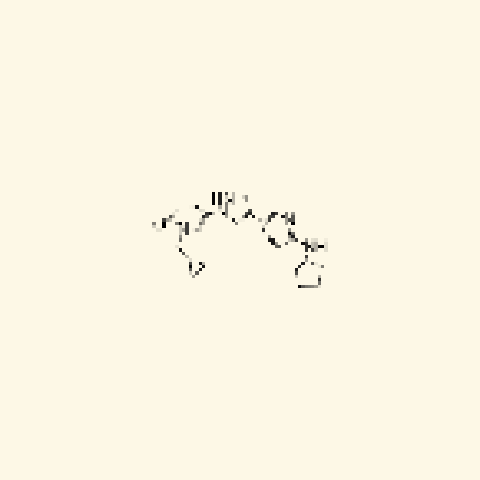 Cc1nc(NC2CCCC2)ccc1C1=CN(c2ccc(=O)n(CC3CC3)c2)NC1